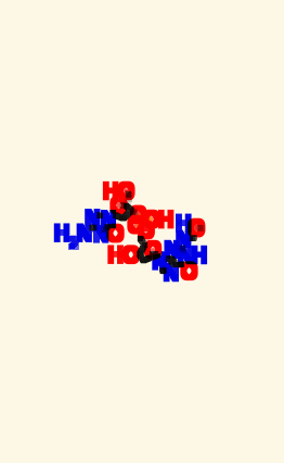 COCNc1nc2c(ncn2[C@H]2CC(O)[C@@H](COP(=O)(O)OC3CC(n4cnc(N)nc4=O)O[C@@H]3CO)O2)c(=O)[nH]1